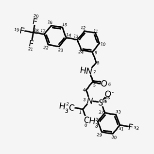 CC(C)N(CC(=O)NCc1cccc(-c2ccc(C(F)(F)F)cc2)c1)[S+]([O-])c1cccc(F)c1